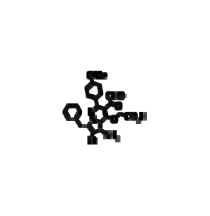 CCc1c(N)c2c(OCC(=O)O)c(C(=O)[C]=O)c(-c3ccc(OC)cc3)nn2c1Cc1ccccc1